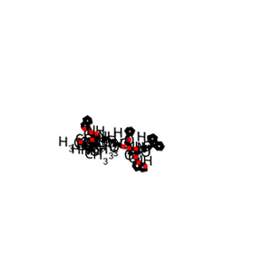 C[C@H](NC(=O)OC(C)(C)C)C(=O)N[C@H](C(=O)N1C[C@@H](NC(=O)CCCC(=O)NCCC[C@H](NC(=O)OCc2ccccc2)C(=O)N2C[C@@H](NC(=O)OCC3c4ccccc4-c4ccccc43)C[C@H]2C(=O)N[C@@H]2CCCc3ccccc32)C[C@H]1C(=O)N[C@@H]1CCCc2ccccc21)C(C)(C)C